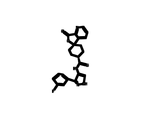 O=C1O[C@]2(CC[C@H](C(=O)Nc3c[nH]nc3-c3cccc(F)c3)CC2)c2cccnc21